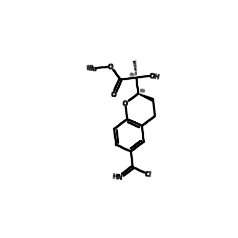 CC(C)(C)OC(=O)[C@@](C)(O)[C@H]1CCc2cc(C(=N)Cl)ccc2O1